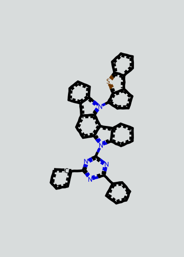 c1ccc(-c2nc(-c3ccccc3)nc(-n3c4ccccc4c4c3ccc3c5ccccc5n(-c5cccc6c5sc5ccccc56)c34)n2)cc1